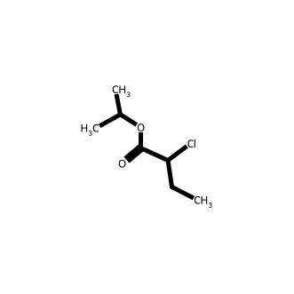 CCC(Cl)C(=O)OC(C)C